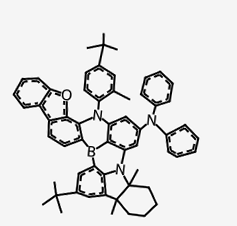 Cc1cc(C(C)(C)C)ccc1N1c2cc(N(c3ccccc3)c3ccccc3)cc3c2B(c2cc(C(C)(C)C)cc4c2N3C2(C)CCCCC42C)c2ccc3c(oc4ccccc43)c21